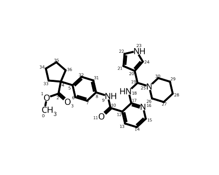 COC(=O)C1(c2ccc(NC(=O)c3cccnc3NC(c3cc[nH]c3)N3CCCCC3)cc2)CCCC1